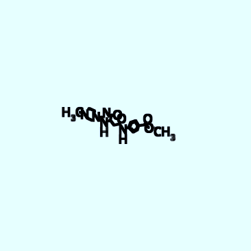 CCOC(=O)c1ccc(NC(=O)CC2NC(N3CCN(C)CC3)=NC2=O)cc1